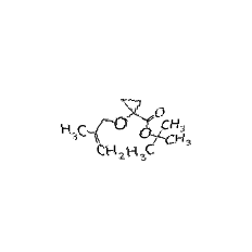 C=C(C)COC1(C(=O)OC(C)(C)C)CC1